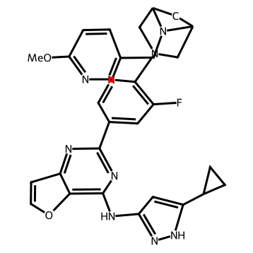 COc1ccc(CN2C3CC2CN(c2ncc(-c4nc(Nc5cc(C6CC6)[nH]n5)c5occc5n4)cc2F)C3)cn1